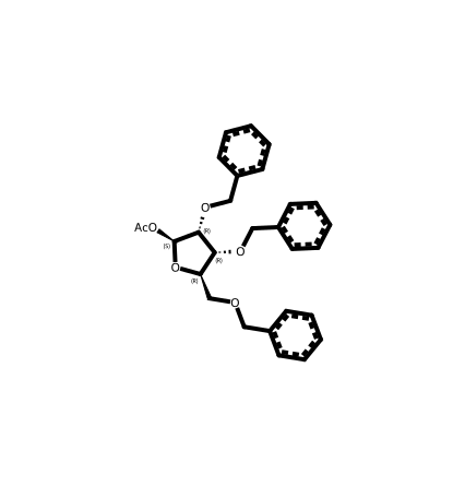 CC(=O)O[C@@H]1O[C@H](COCc2ccccc2)[C@@H](OCc2ccccc2)[C@H]1OCc1ccccc1